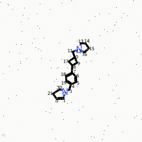 C1=CN(Cc2ccc(C3CC(CN4CCCC4)C3)cc2)CC1